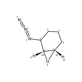 [N-]=[N+]=NC1CCC[C@@H]2O[C@H]12